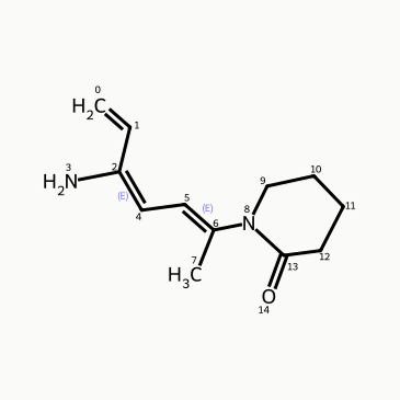 C=C/C(N)=C\C=C(/C)N1CCCCC1=O